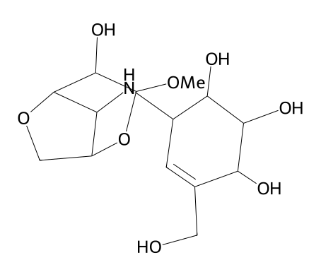 COC1OC2COC(C1O)C2NC1C=C(CO)C(O)C(O)C1O